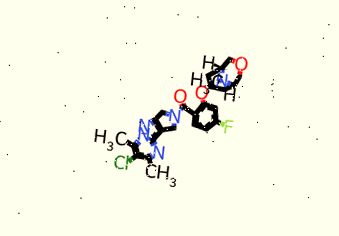 Cc1nc2c3c(nn2c(C)c1Cl)CN(C(=O)c1ccc(F)cc1O[C@H]1C[C@H]2COC[C@@H](C1)N2C)C3